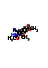 COc1cc(NC(C)=O)c(C#N)cc1[C@H]1CC[C@H](C(=O)OC)CC1